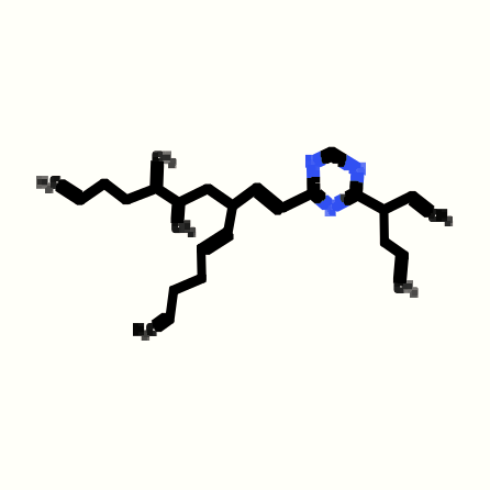 C=CCC/C=C/C(/C=C/c1ncnc(C(C=C)CC=C)n1)CC(=C)C(=C)CCC=C